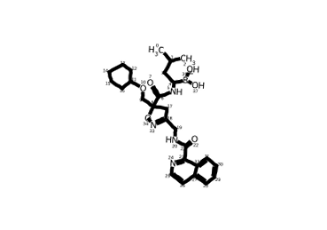 CC(C)CC(NC(=O)C1(COC2CCCCC2)CC(CNC(=O)c2nccc3ccccc23)=NO1)B(O)O